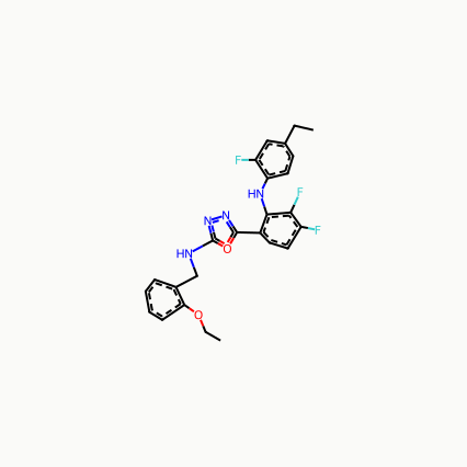 CCOc1ccccc1CNc1nnc(-c2ccc(F)c(F)c2Nc2ccc(CC)cc2F)o1